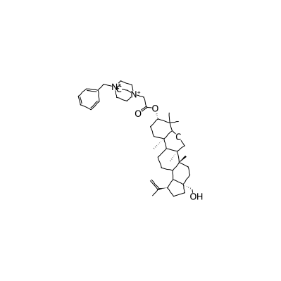 C=C(C)[C@@H]1CC[C@]2(CO)CC[C@]3(C)C(CCC4[C@@]5(C)CC[C@H](OC(=O)C[N+]67CC[N+](Cc8ccccc8)(CC6)CC7)C(C)(C)C5CC[C@]43C)C12